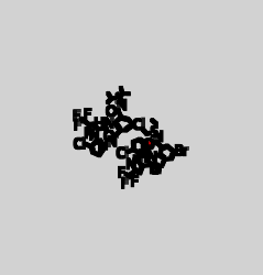 CC(C)S(=NC(=O)c1cc(Cl)cc(C#N)c1NC(=O)c1cc(C(F)(F)F)nn1-c1ncccc1Cl)C(C)C.CCS(CC)=NC(=O)c1cc(Br)cc(Br)c1NC(=O)c1cc(C(F)(F)F)nn1-c1ncccc1Cl